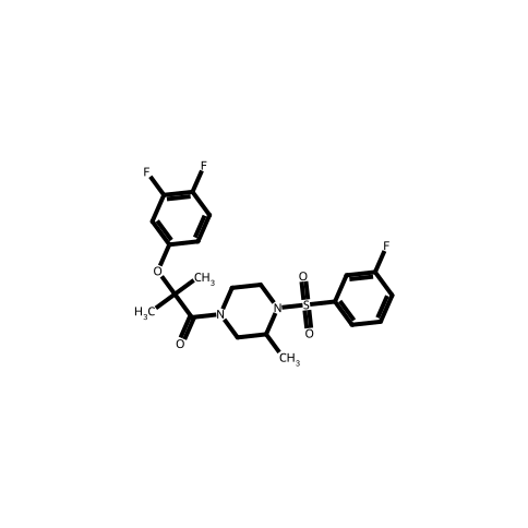 CC1CN(C(=O)C(C)(C)Oc2ccc(F)c(F)c2)CCN1S(=O)(=O)c1cccc(F)c1